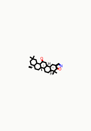 C=C[C@]12CCC(C)(C)CC1C1C(=O)C[C@@H]3[C@@]4(C)Cc5cnoc5C(C)(C)[C@@H]4CC[C@@]3(C)[C@]1(C)CC2